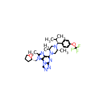 Cc1nc2c(N3C[C@@H](C)N([C@H](c4ccc(OC(F)(F)F)cc4)C(C)C)C[C@@H]3C)nc3nncn3c2n1C[C@@H]1CCCO1